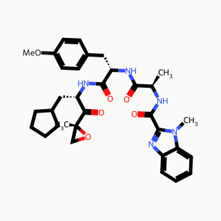 COc1ccc(C[C@H](NC(=O)[C@@H](C)NC(=O)c2nc3ccccc3n2C)C(=O)N[C@@H](CC2CCCC2)C(=O)[C@@]2(C)CO2)cc1